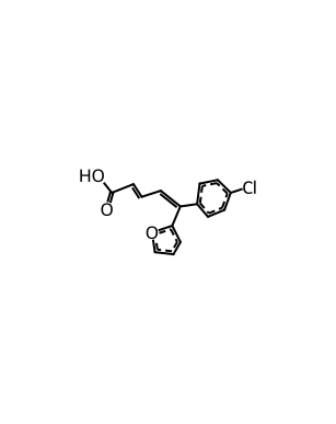 O=C(O)/C=C/C=C(/c1ccc(Cl)cc1)c1ccco1